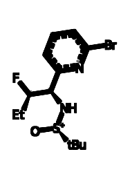 CC[C@@H](F)[C@H](N[S@+]([O-])C(C)(C)C)c1cccc(Br)n1